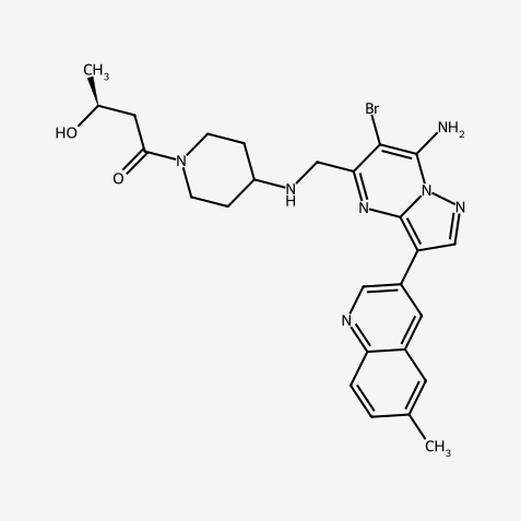 Cc1ccc2ncc(-c3cnn4c(N)c(Br)c(CNC5CCN(C(=O)C[C@H](C)O)CC5)nc34)cc2c1